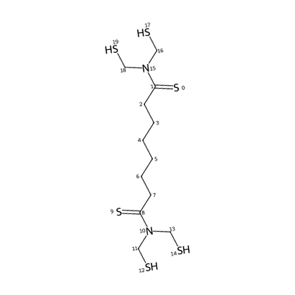 S=C(CCCCCCC(=S)N(CS)CS)N(CS)CS